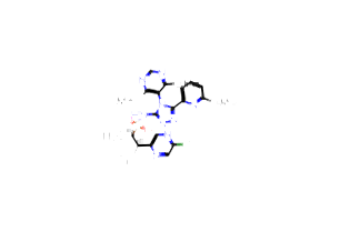 COc1cccc(-c2nnc(NS(=O)(=O)[C@@H](C)[C@H](C)c3cnc(Cl)cn3)n2-c2c(OC)ncnc2OC)n1